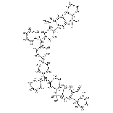 CC1(C)c2ccccc2-c2cc3c(cc21)-c1ccc(N(c2ccccc2)c2ccc(-c4ccc(N(c5ccccc5)c5ccc6c(c5)C(C)(C)c5cc7c(cc5-6)C(C)(C)c5ccccc5-7)cc4)cc2)cc1C3(C)C